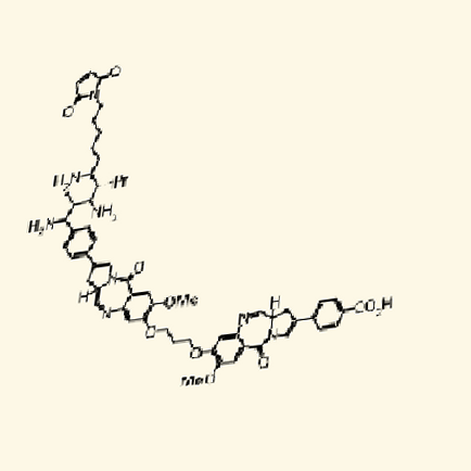 COc1cc2c(cc1OCCCOc1cc3c(cc1OC)C(=O)N1C=C(c4ccc(C(N)[C@@H](C)C(N)[C@@H](C(C)C)C(N)CCCCCN5C(=O)C=CC5=O)cc4)C[C@H]1C=N3)N=C[C@@H]1CC(c3ccc(C(=O)O)cc3)=CN1C2=O